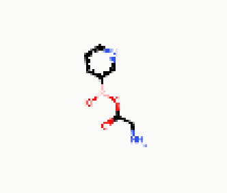 NCC(=O)OB(O)c1cccnc1